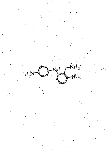 NCc1c(N)cccc1Nc1ccc(N)cc1